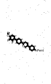 CCCCCC1CCC(C2CCC(C3CCC(c4ccc(OCC)c(F)c4F)CC3)OC2)CC1